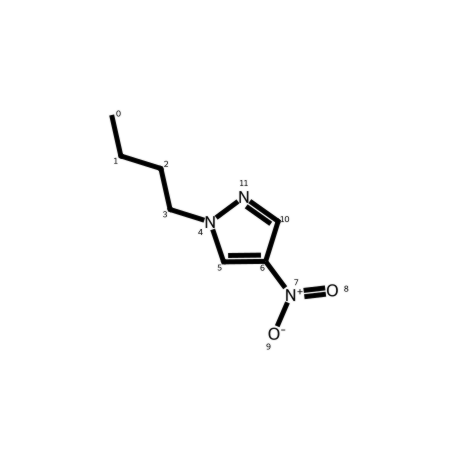 CCCCn1cc([N+](=O)[O-])cn1